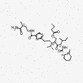 CCCC(=O)OCN(C(=O)[C@@H](NC(=O)[C@H]1CCCCN1C)C(C)CC)[C@H](CCc1nc(C(=O)NCC[C@H](C)C(N)=O)cs1)C(C)C